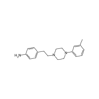 Cc1cccc(N2CCN(CCc3ccc(N)cc3)CC2)c1